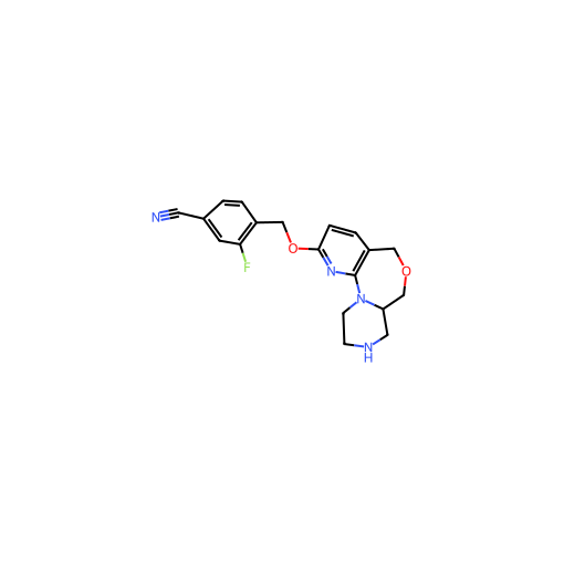 N#Cc1ccc(COc2ccc3c(n2)N2CCNCC2COC3)c(F)c1